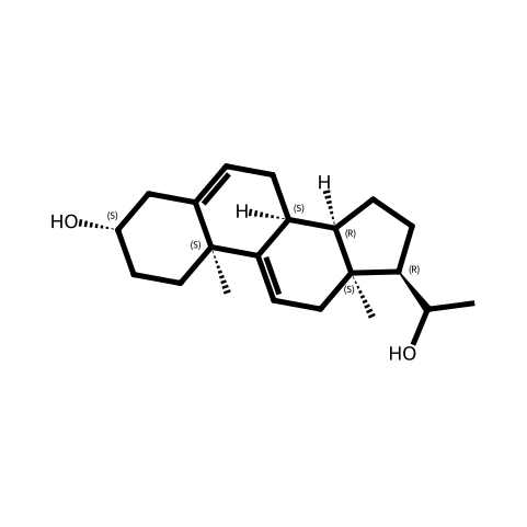 CC(O)[C@@H]1CC[C@@H]2[C@@H]3CC=C4C[C@@H](O)CC[C@]4(C)C3=CC[C@@]21C